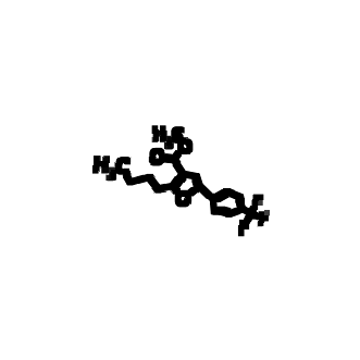 CCCCc1oc(-c2ccc(C(F)(F)F)cc2)cc1C(=O)OC